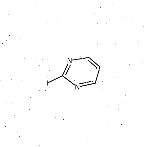 Ic1ncccn1